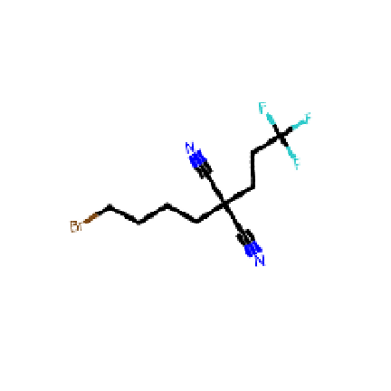 N#CC(C#N)(CCCCBr)CCC(F)(F)F